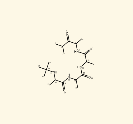 CC(C)C(=O)C(C)NC(=O)C(C)NC(=O)C(C)NC(=O)C(C)NC(C)(C)C